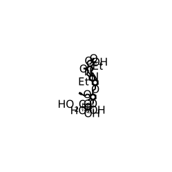 C#CCOc1c(COc2ccc3nc4c(c(CC)c3c2)Cn2c-4cc3c(c2=O)COC(=O)[C@]3(O)CC)ccc(O[C@@H]2O[C@H](C(=O)O)[C@@H](O)[C@H](O)[C@H]2O)c1C